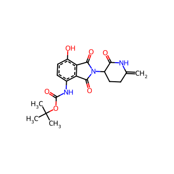 C=C1CCC(N2C(=O)c3c(O)ccc(NC(=O)OC(C)(C)C)c3C2=O)C(=O)N1